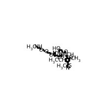 CNCCOCCOCCOc1cc([C@H](C(=O)N2C[C@H](O)C[C@H]2C(=O)N[C@@H](C)c2ccc(-c3scnc3C)cc2OC)C(C)C)on1